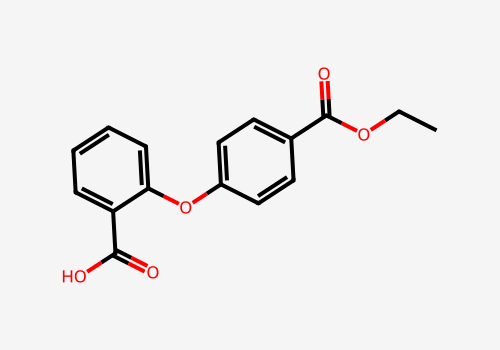 CCOC(=O)c1ccc(Oc2ccccc2C(=O)O)cc1